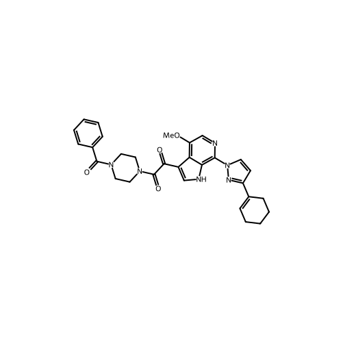 COc1cnc(-n2ccc(C3=CCCCC3)n2)c2[nH]cc(C(=O)C(=O)N3CCN(C(=O)c4ccccc4)CC3)c12